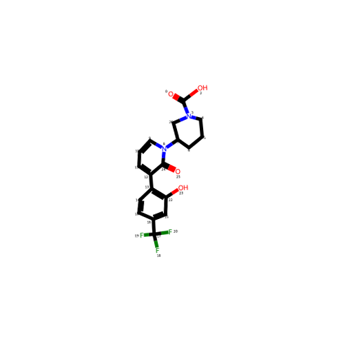 O=C(O)N1CCCC(n2cccc(-c3ccc(C(F)(F)F)cc3O)c2=O)C1